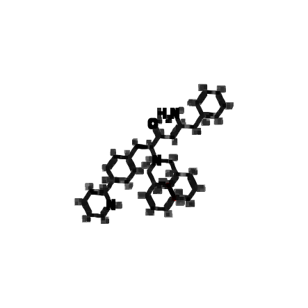 NC(=CC(=O)[C@H](Cc1ccc(-c2ccccn2)cc1)N(Cc1ccccc1)Cc1ccccc1)Cc1ccccc1